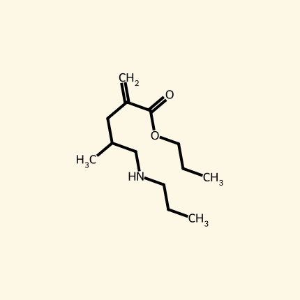 C=C(CC(C)CNCCC)C(=O)OCCC